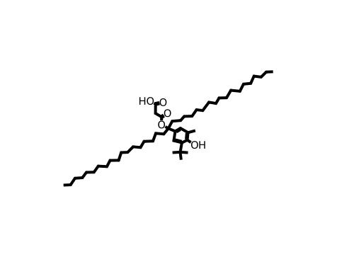 CCCCCCCCCCCCCCCCCCC(CCCCCCCCCCCCCCCCCC)(OC(=O)CC(=O)O)c1cc(C)c(O)c(C(C)(C)C)c1